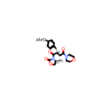 COc1ccc(C[C@H](CC(=O)N2CCOCC2)C(=O)N2C(=O)OC[C@@H]2C(C)C)cc1